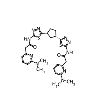 CN(C)c1cccc(CC(=O)Nc2nnc([C@H]3CC[C@H](c4nnc(NC(=O)Cc5cccc(N(C)C)n5)s4)C3)s2)n1